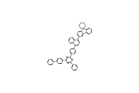 c1ccc(-c2ccc(-c3nc(-c4ccccc4)nc(-c4ccc(-c5ccc(-c6ccc7c(c6)-c6ccccc6C76CCCCC6)c6ccccc56)cc4)n3)cc2)cc1